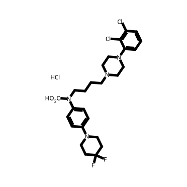 Cl.O=C(O)N(CCCCN1CCN(c2cccc(Cl)c2Cl)CC1)c1ccc(N2CCC(F)(F)CC2)cc1